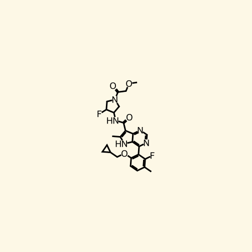 COCC(=O)N1CC(F)C(NC(=O)c2c(C)[nH]c3c(-c4c(OCC5CC5)ccc(C)c4F)ncnc23)C1